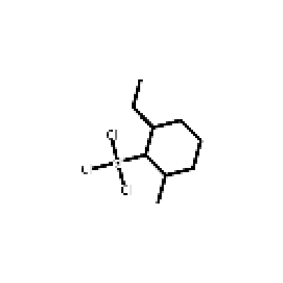 CCC1CCCC(C)C1[Si](Cl)(Cl)Cl